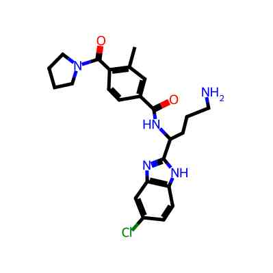 Cc1cc(C(=O)NC(CCCN)c2nc3cc(Cl)ccc3[nH]2)ccc1C(=O)N1CCCC1